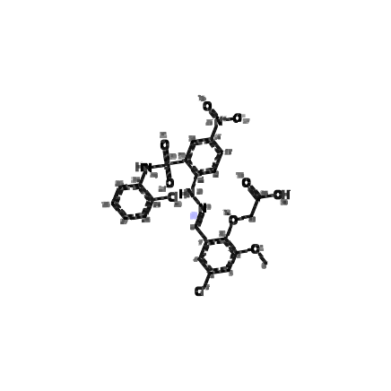 COc1cc(Cl)cc(/C=N/Nc2ccc([N+](=O)[O-])cc2S(=O)(=O)Nc2ccccc2Cl)c1OCC(=O)O